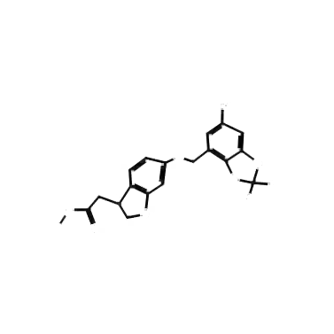 COC(=O)CC1COc2cc(OCc3cc(Br)cc4c3OC(F)(F)O4)ccc21